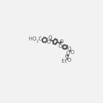 CCC(=O)OCOC(=O)Oc1ccc(OC(=O)c2ccc(C(=O)OC3CCC(C(=O)O)CC3)cc2)cc1